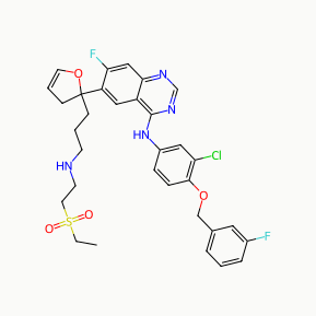 CCS(=O)(=O)CCNCCCC1(c2cc3c(Nc4ccc(OCc5cccc(F)c5)c(Cl)c4)ncnc3cc2F)CC=CO1